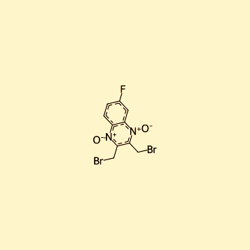 [O-][n+]1c(CBr)c(CBr)[n+]([O-])c2cc(F)ccc21